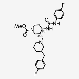 COC(=O)N1CC[C@@H](NC(=O)Nc2ccc(F)cc2)[C@H](CN2CCCC(Cc3ccc(F)cc3)C2)C1